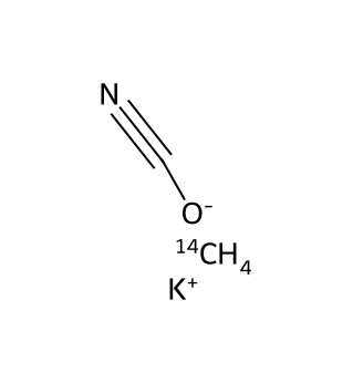 N#C[O-].[14CH4].[K+]